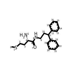 CSCC[C@H](N)C(=O)NCCC(c1ccccc1)c1ccccc1